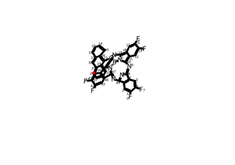 Fc1cc2c(cc1F)/C1=N/c3c4cc(F)c(F)cc4c4n3B(Oc3c5ccccc5cc5ccccc35)n3c(c5cc(F)c(F)cc5/c3=N/C2=N1)=N4